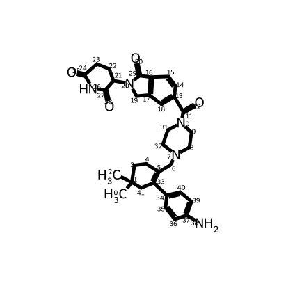 CC1(C)CCC(CN2CCN(C(=O)c3ccc4c(c3)CN(C3CCC(=O)NC3=O)C4=O)CC2)=C(c2ccc(N)cc2)C1